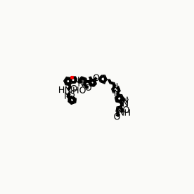 Cc1c(O[C@H]2CC[C@H](CCCN3CCN(c4ccc5c(C6CCC(=O)NC6=O)nn(C)c5c4)CC3)CC2)cccc1-c1ccc(N2CCc3cccc(C(=O)Nc4nc5ccccc5s4)c3C2)nc1C(=O)O